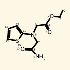 CCOC(=O)CN(CC(N)=O)c1cccs1